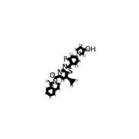 C[C@@H]1c2ccccc2CCN1C(=O)c1cc(C2CC2)c2sc(-c3ccc(N4CC[C@@H](O)C4)cc3F)nc2n1